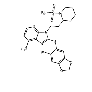 Nc1ncnc2c1nc(Sc1cc3c(cc1Br)OCO3)n2CCC1CCCCN1S(=O)(=O)C(F)(F)F